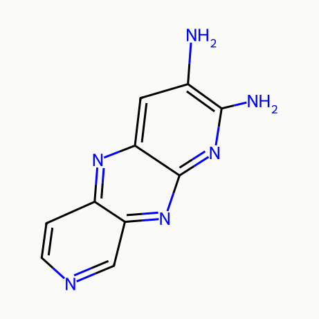 Nc1cc2nc3ccncc3nc2nc1N